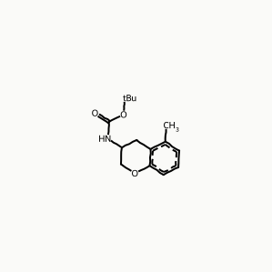 Cc1cccc2c1CC(NC(=O)OC(C)(C)C)CO2